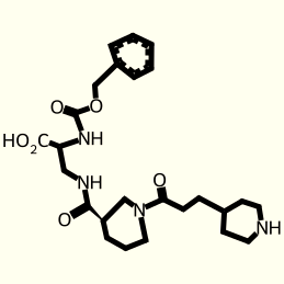 O=C(NC(CNC(=O)[C@@H]1CCCN(C(=O)CCC2CCNCC2)C1)C(=O)O)OCc1ccccc1